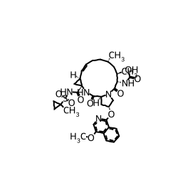 COc1cnc(O[C@@H]2C[C@H]3C(=O)N[C@]4(C(=O)NS(=O)(=O)C5(C)CC5)C[C@H]4C=CCC[C@H](C)C[C@@H](C)[C@H](NC(=O)O)C(=O)N3C2)c2ccccc12